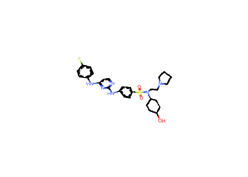 O=S(=O)(c1ccc(Nc2nccc(Nc3ccc(F)cc3)n2)cc1)N(CCN1CCCC1)C1CCC(O)CC1